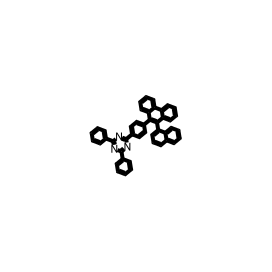 c1ccc(-c2nc(-c3ccccc3)nc(-c3ccc(-c4c(-c5cccc6ccccc56)c5ccccc5c5ccccc45)cc3)n2)cc1